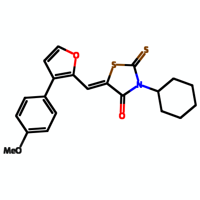 COc1ccc(-c2ccoc2C=C2SC(=S)N(C3CCCCC3)C2=O)cc1